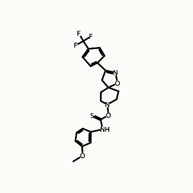 COc1cccc(NC(=S)ON2CCC3(CC2)CC(c2ccc(C(F)(F)F)cc2)=NO3)c1